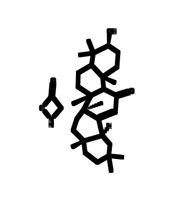 CC1(C)CC[C@]2(C)CC[C@]3(C)C(=CC(=O)C4[C@@]5(C)CC[C@H](O)C(C)(C)C5CC[C@]43C)[C@H]2C1.O=C1CNO1